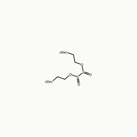 CCCCCCCCCCCCOS(=O)S(=O)OCCCCCCCCCCCC